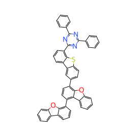 c1ccc(-c2nc(-c3ccccc3)nc(-c3cccc4c3sc3ccc(-c5ccc(-c6cccc7c6oc6ccccc67)c6c5oc5ccccc56)cc34)n2)cc1